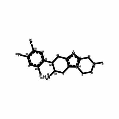 CN1CCn2c(nc3c2CC(N)C(c2cc(F)c(F)cc2F)C3)C1